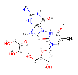 Cc1cn([C@H]2C[C@H](O)[C@@H](CO)O2)c(=O)[nH]c1=O.Nc1nc2c(ncn2COC(CO)CO)c(=O)[nH]1